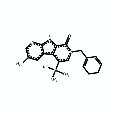 Cc1cnc2[nH]c3c(=O)n(CC4=CCCC=C4)cc([Si](C)(C)C)c3c2c1